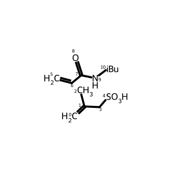 C=C(C)CS(=O)(=O)O.C=CC(=O)NC(C)CC